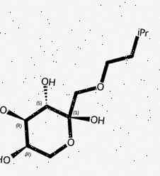 CC(C)CCOC[C@]1(O)OC[C@@H](O)[C@@H](O)[C@@H]1O